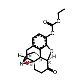 CCOC(=O)Oc1ccc2c3c1O[C@H]1C(=O)CC[C@]45OCN(CC[C@]314)[C@@H]5C2